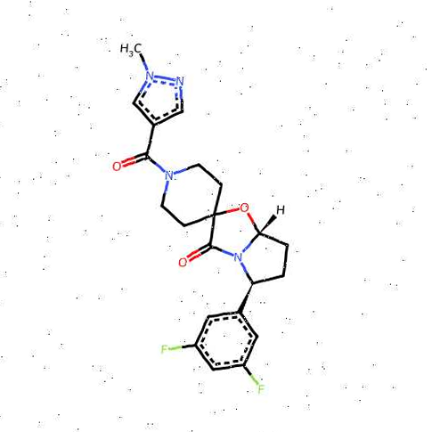 Cn1cc(C(=O)N2CCC3(CC2)O[C@@H]2CC[C@@H](c4cc(F)cc(F)c4)N2C3=O)cn1